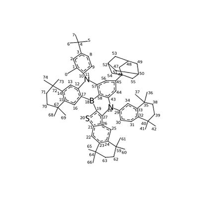 Cc1cc(C(C)(C)C)ccc1N1c2cc3c(cc2B2c4sc5cc6c(cc5c4N(c4ccc5c(c4)C(C)(C)CCC5(C)C)c4cc(C57CC8CC(CC(C8)C5)C7)cc1c42)C(C)(C)CCC6(C)C)C(C)(C)CCC3(C)C